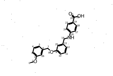 COc1cccc(COc2cccc(CNc3ccc(C(=O)O)cc3)c2)c1